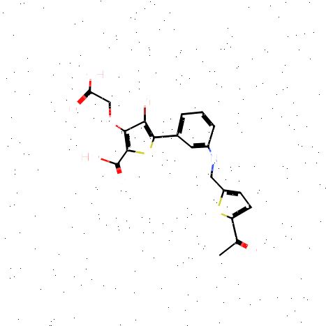 CC(=O)c1ccc(CNc2cccc(-c3sc(C(=O)O)c(OCC(=O)O)c3Br)c2)s1